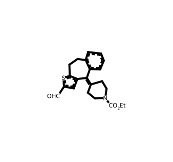 CCOC(=O)N1CCC(=C2c3ccccc3CCc3sc(C=O)cc32)CC1